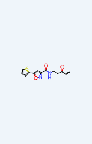 C=CC(=O)CCNC(=O)c1cc(-c2cccs2)on1